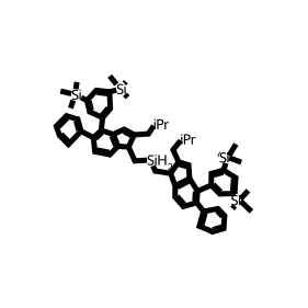 CC(C)CC1=Cc2c(ccc(-c3ccccc3)c2-c2cc([Si](C)(C)C)cc([Si](C)(C)C)c2)C1C[SiH2]CC1C(CC(C)C)=Cc2c1ccc(-c1ccccc1)c2-c1cc([Si](C)(C)C)cc([Si](C)(C)C)c1